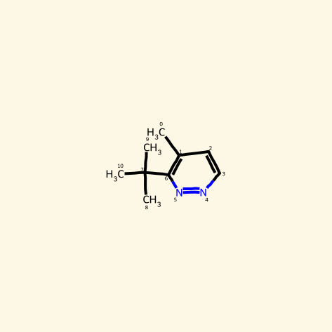 Cc1ccnnc1C(C)(C)C